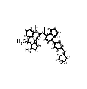 CC(C)(C)c1cccc(NC(=O)Nc2ccc(-c3ccc(CN4CCOCC4)nc3)c3ccccc23)c1OC1CCCC1